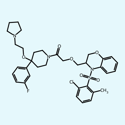 Cc1cccc(Cl)c1S(=O)(=O)N1c2ccccc2OCC1COCC(=O)N1CCC(OCCN2CCCC2)(c2cccc(F)c2)CC1